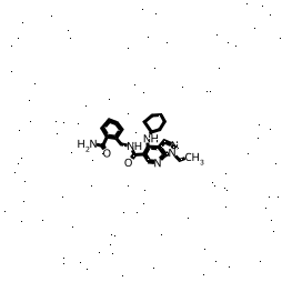 CCn1ncc2c(NC3CCCCC3)c(C(=O)NCc3ccccc3C(N)=O)cnc21